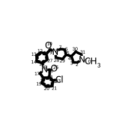 CN1CCC(C2CCN(C(=O)c3cccc(N4Cc5cccc(Cl)c5C4=O)c3)CC2)CC1